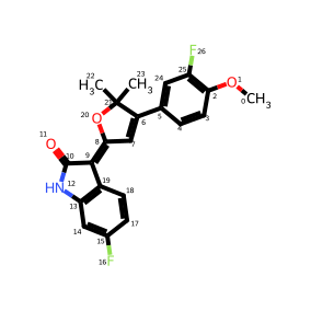 COc1ccc(C2=CC(=C3C(=O)Nc4cc(F)ccc43)OC2(C)C)cc1F